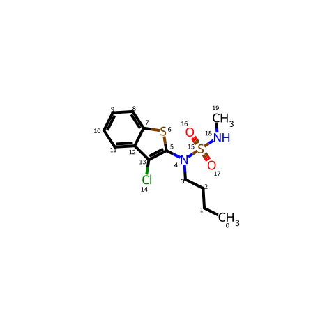 CCCCN(c1sc2ccccc2c1Cl)S(=O)(=O)NC